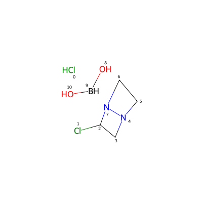 Cl.ClC1CN2CCN12.OBO